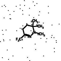 CN1N=C(C(F)(F)F)CCC1(C)C